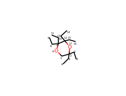 CCC1(CC)COC(CC)(CC)C(CC)(CC)O1